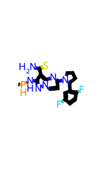 CPNc1nn2ccc(N3CCCC3c3cc(F)ccc3F)nc2c1C(N)=S